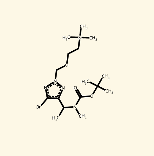 CC(c1nn(COCC[Si](C)(C)C)nc1Br)N(C)C(=O)OC(C)(C)C